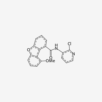 COc1cccc2oc3cccc(C(=O)Nc4cccnc4Cl)c3c12